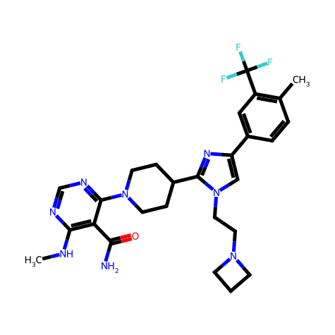 CNc1ncnc(N2CCC(c3nc(-c4ccc(C)c(C(F)(F)F)c4)cn3CCN3CCC3)CC2)c1C(N)=O